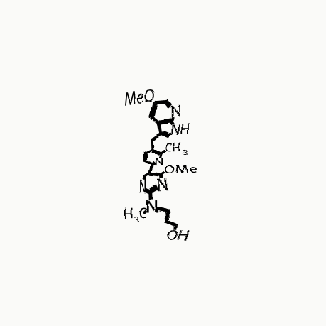 COc1cnc2[nH]cc(Cc3ccc(-c4cnc(N(C)CCCO)nc4OC)nc3C)c2c1